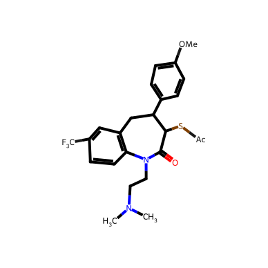 COc1ccc(C2Cc3cc(C(F)(F)F)ccc3N(CCN(C)C)C(=O)C2SC(C)=O)cc1